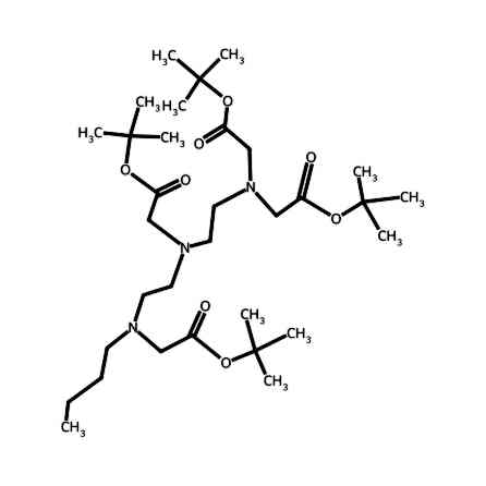 CCCCN(CCN(CCN(CC(=O)OC(C)(C)C)CC(=O)OC(C)(C)C)CC(=O)OC(C)(C)C)CC(=O)OC(C)(C)C